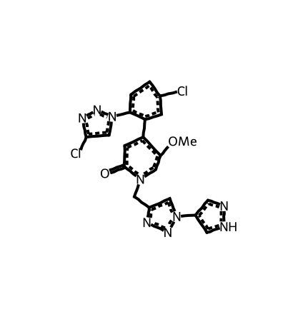 COc1cn(Cc2cn(-c3cn[nH]c3)nn2)c(=O)cc1-c1cc(Cl)ccc1-n1cc(Cl)nn1